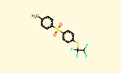 Cc1ccc(S(=O)(=O)c2ccc(SC(F)(F)C(F)F)cc2)cc1